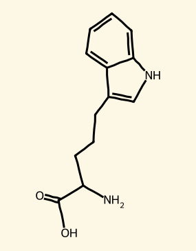 NC(CCCc1c[nH]c2ccccc12)C(=O)O